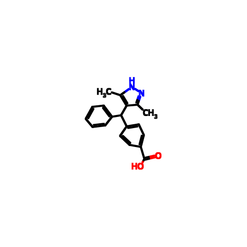 Cc1n[nH]c(C)c1C(c1ccccc1)c1ccc(C(=O)O)cc1